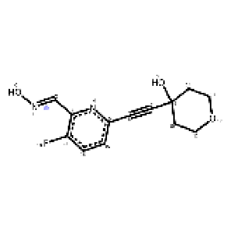 O/N=C/c1nc(C#CC2(O)CCOCC2)ccc1F